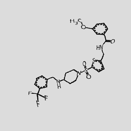 COc1cccc(C(=O)NCc2ccc(S(=O)(=O)N3CCC(NCc4cccc(C(F)(F)F)c4)CC3)s2)c1